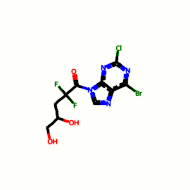 O=C(n1cnc2c(Br)nc(Cl)nc21)C(F)(F)CC(O)CO